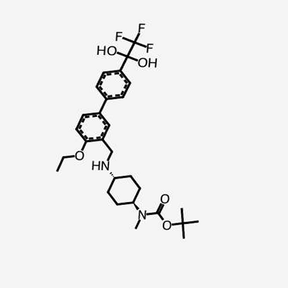 CCOc1ccc(-c2ccc(C(O)(O)C(F)(F)F)cc2)cc1CN[C@H]1CC[C@H](N(C)C(=O)OC(C)(C)C)CC1